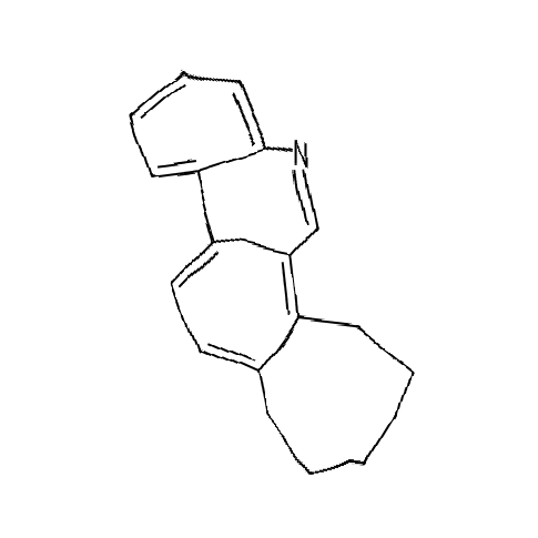 c1ccc2c(c1)ncc1c3c(ccc12)CCCCCC3